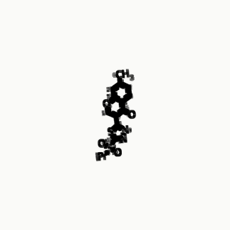 Cc1ccc2c(=O)c(-c3nnc(S(=O)(=O)C(C)C)s3)coc2c1